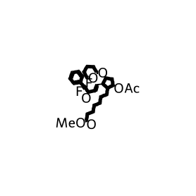 COC(=O)CCCCCCC1[C@@H](OC(C)=O)C[C@@H](OC2CCCCO2)[C@@H]1/C=C/C(=O)C(F)(F)c1ccccc1